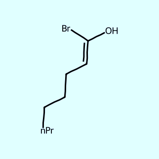 CCCCCCC=C(O)Br